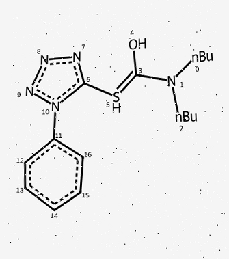 CCCCN(CCCC)C(O)=[SH]c1nnnn1-c1ccccc1